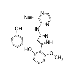 COc1cccc(O)c1-c1cc(Nc2nccnc2C#N)n[nH]1.Oc1ccccc1